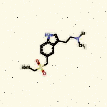 CCN(C)CCc1c[nH]c2ccc(CS(=O)(=O)CNC)cc12